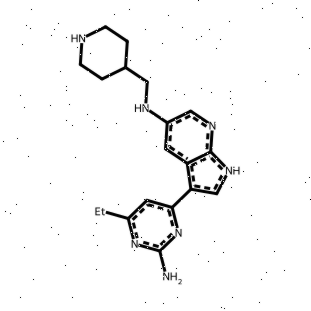 CCc1cc(-c2c[nH]c3ncc(NCC4CCNCC4)cc23)nc(N)n1